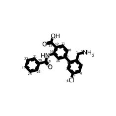 NCc1ccc(Cl)cc1-c1ccc(C(=O)O)c(NC(=O)c2ccccc2)c1